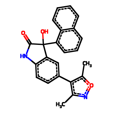 Cc1noc(C)c1-c1ccc2c(c1)C(O)(c1cccc3ccccc13)C(=O)N2